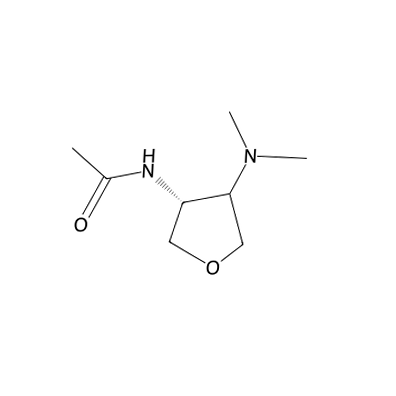 CC(=O)N[C@H]1COCC1N(C)C